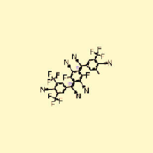 Cc1cc(/C(C#N)=c2\c(F)c(C#N)/c(=C(\C#N)c3cc(C(F)(F)F)c(C#N)c(C(F)(F)F)c3)c(F)c2C#N)cc(C(F)(F)F)c1C#N